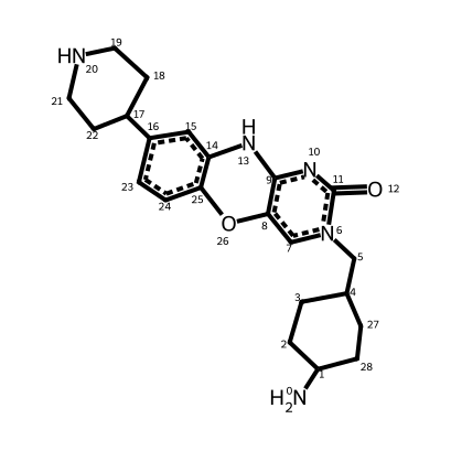 NC1CCC(Cn2cc3c(nc2=O)Nc2cc(C4CCNCC4)ccc2O3)CC1